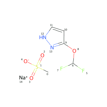 CS(=O)(=O)[O-].FC(F)Oc1cc[nH]n1.[Na+]